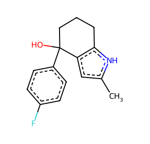 Cc1cc2c([nH]1)CCCC2(O)c1ccc(F)cc1